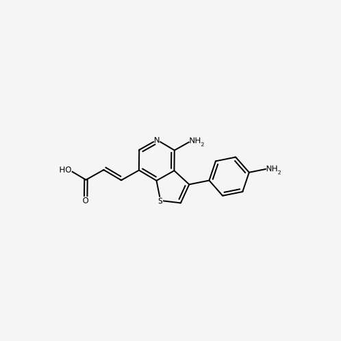 Nc1ccc(-c2csc3c(/C=C/C(=O)O)cnc(N)c23)cc1